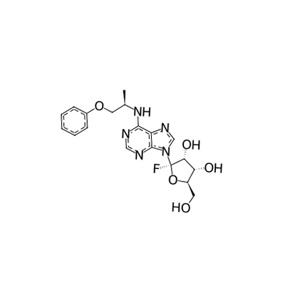 C[C@H](COc1ccccc1)Nc1ncnc2c1ncn2[C@]1(F)O[C@H](CO)[C@@H](O)[C@H]1O